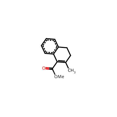 COC(=O)C1=C(C)CCc2ccccc21